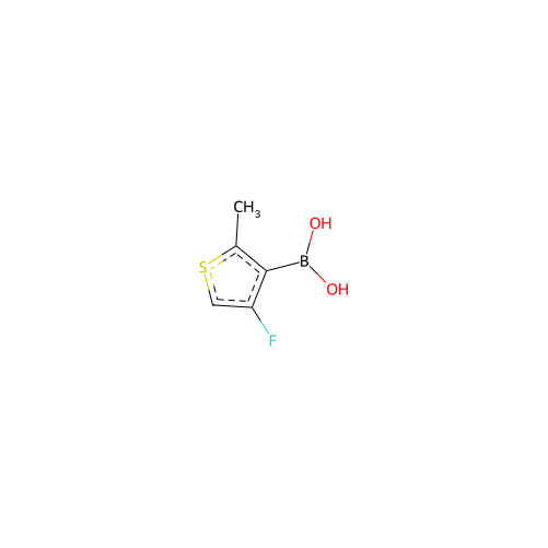 Cc1scc(F)c1B(O)O